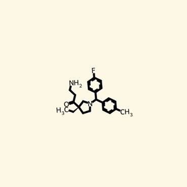 CC[C@]1(C(=O)CCN)CCN(C(c2ccc(C)cc2)c2ccc(F)cc2)C1